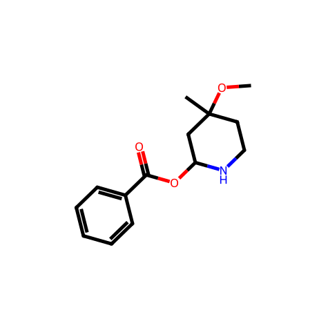 COC1(C)CCNC(OC(=O)c2ccccc2)C1